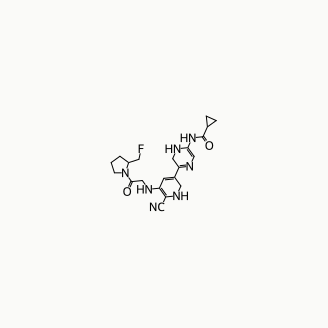 N#CC1=C(NCC(=O)N2CCCC2CF)C=C(C2=NC=C(NC(=O)C3CC3)NC2)CN1